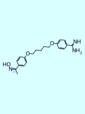 C/C(=N/O)c1ccc(OCCCCCOc2ccc(C(=N)N)cc2)cc1